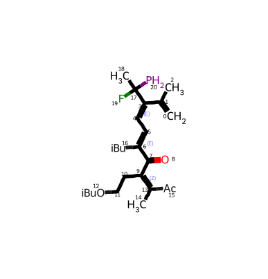 C=C(C)/C(=C\C=C(\C(=O)/C(CCOCC(C)C)=C(/C)C(C)=O)C(C)CC)C(C)(F)P